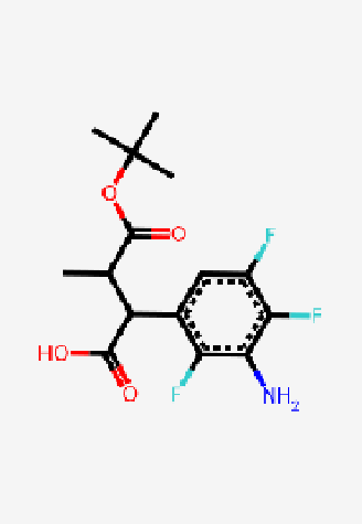 CC(C(=O)OC(C)(C)C)C(C(=O)O)c1cc(F)c(F)c(N)c1F